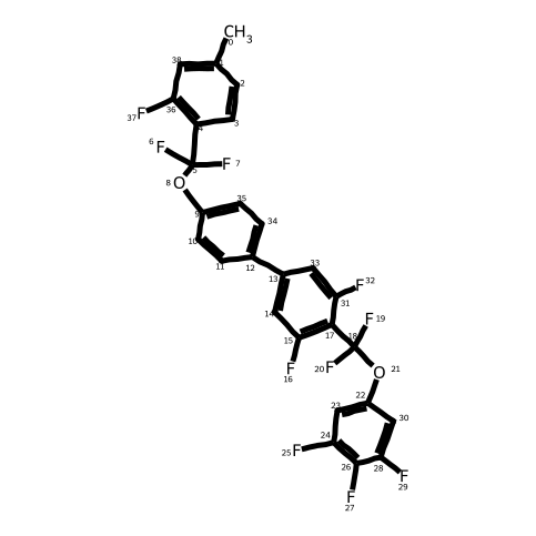 Cc1ccc(C(F)(F)Oc2ccc(-c3cc(F)c(C(F)(F)Oc4cc(F)c(F)c(F)c4)c(F)c3)cc2)c(F)c1